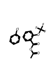 CC(=O)OC(=O)c1ccccc1OC(F)(F)F.Clc1ccccc1